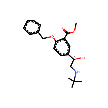 COC(=O)c1cc([C@@H](O)CNC(C)(C)C)ccc1OCc1ccccc1